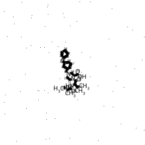 CNC(C)C(=O)NC(C(=O)N1CCN(Cc2cccc(Oc3ccccc3)c2)CC1C(=O)O)C(C)C